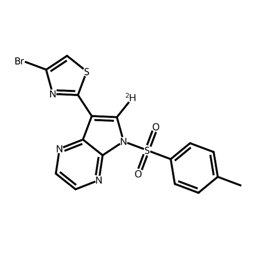 [2H]c1c(-c2nc(Br)cs2)c2nccnc2n1S(=O)(=O)c1ccc(C)cc1